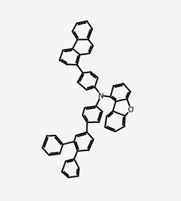 c1ccc(-c2ccc(-c3ccc(N(c4ccc(-c5cccc6c5ccc5ccccc56)cc4)c4cccc5oc6ccccc6c45)cc3)cc2-c2ccccc2)cc1